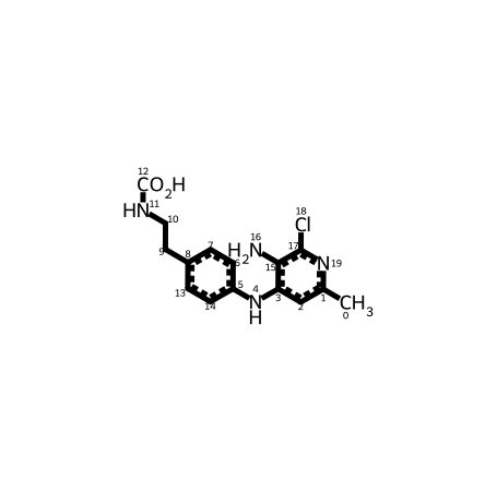 Cc1cc(Nc2ccc(CCNC(=O)O)cc2)c(N)c(Cl)n1